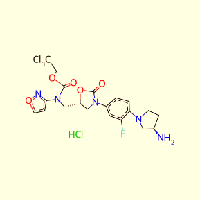 Cl.N[C@@H]1CCN(c2ccc(N3C[C@H](CN(C(=O)OCC(Cl)(Cl)Cl)c4ccon4)OC3=O)cc2F)C1